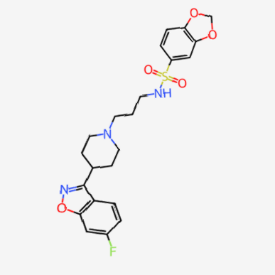 O=S(=O)(NCCCN1CCC(c2noc3cc(F)ccc23)CC1)c1ccc2c(c1)OCO2